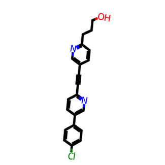 OCCCc1ccc(C#Cc2ccc(-c3ccc(Cl)cc3)cn2)cn1